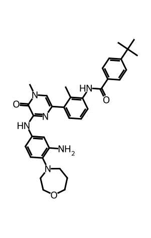 Cc1c(NC(=O)c2ccc(C(C)(C)C)cc2)cccc1-c1cn(C)c(=O)c(Nc2ccc(N3CCCOCC3)c(N)c2)n1